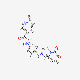 C[C@H]1CN(Cc2ccc(NCC(=O)c3ccc(Br)nc3)cc2)CCN1C(=O)O